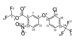 O=C(OC(F)F)c1cc(Oc2ccc(C(F)(F)F)cc2Cl)ccc1[N+](=O)[O-]